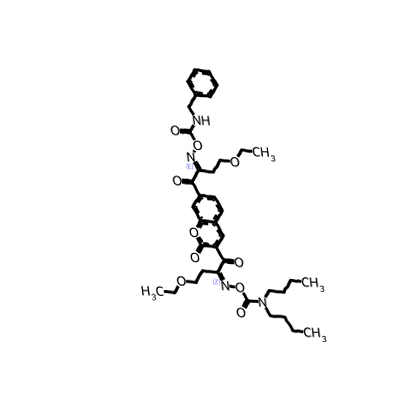 CCCCN(CCCC)C(=O)O/N=C(/CCOCC)C(=O)c1cc2ccc(C(=O)/C(CCOCC)=N/OC(=O)NCc3ccccc3)cc2oc1=O